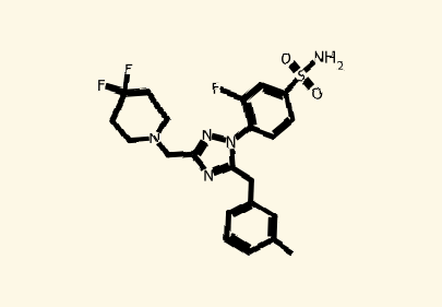 Cc1cccc(Cc2nc(CN3CCC(F)(F)CC3)nn2-c2ccc(S(N)(=O)=O)cc2F)c1